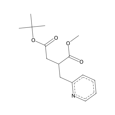 COC(=O)C(CC(=O)OC(C)(C)C)Cc1ccccn1